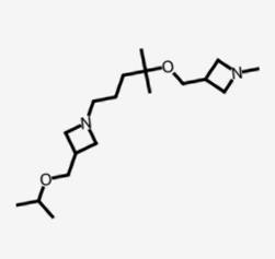 CC(C)OCC1CN(CCCC(C)(C)OCC2CN(C)C2)C1